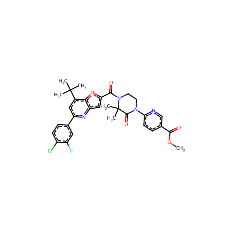 COC(=O)c1ccc(N2CCN(C(=O)c3cc4nc(-c5ccc(Cl)c(F)c5)cc(C(C)(C)C)c4o3)C(C)(C)C2=O)nc1